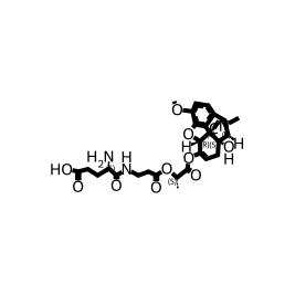 COc1ccc2c3c1O[C@H]1C(OC(=O)[C@H](C)OC(=O)CCNC(=O)[C@@H](N)CCC(=O)O)=CC[C@@]4(O)[C@@H](C2)N(C)CC[C@]314